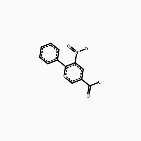 O=C(Cl)c1cnc(-c2ccccc2)c([N+](=O)[O-])c1